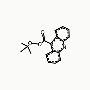 CC(C)(C)OOC(=O)c1c2ccccc2nc2ccccc12